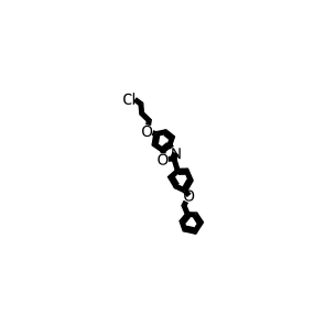 ClCCCOc1ccc2nc(-c3ccc(OCc4ccccc4)cc3)oc2c1